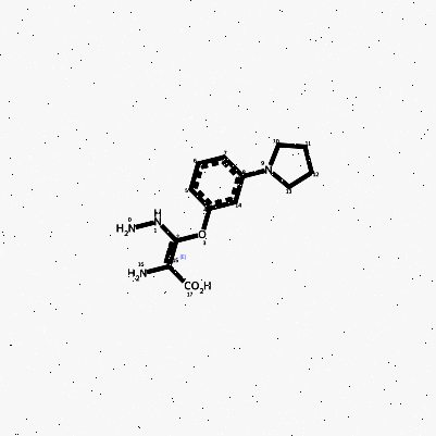 NN/C(Oc1cccc(N2CCCC2)c1)=C(\N)C(=O)O